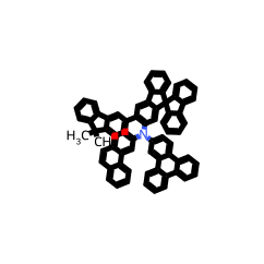 CC1(C)c2ccccc2-c2cc(-c3cc4c(cc3N(c3ccc5ccc6ccccc6c5c3)c3ccc5c6ccccc6c6ccccc6c5c3)C3(c5ccccc5-c5ccccc53)c3ccccc3-4)ccc21